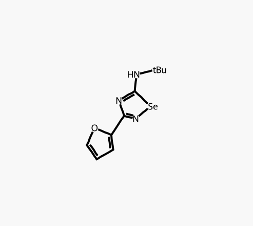 CC(C)(C)Nc1nc(-c2ccco2)n[se]1